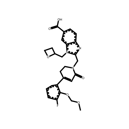 COCOc1c(F)cccc1C1=CC(=O)N(Cc2nc3ccc(C(=O)O)cc3n2CC2CCO2)CC1